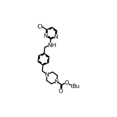 CC(C)(C)OC(=O)N1CCN(Cc2ccc(CNc3nccc(Cl)n3)cc2)CC1